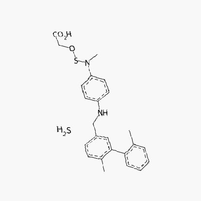 Cc1ccccc1-c1cc(CNc2ccc(N(C)SOCC(=O)O)cc2)ccc1C.S